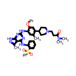 Cc1cc(Nc2nc(Nc3ccccc3S(=O)(=O)C(C)C)c3c(C)n[nH]c3n2)c(OC(C)C)cc1C1CCN(CCC(=O)N(C)C)CC1